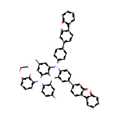 Cc1cc2c3c(c1)N(c1cccc4c1OCCO4)c1ccc(C(C)(C)C)cc1B3c1cc(-c3ccc4c(c3)oc3ccccc34)ccc1N2c1ccc(-c2ccc3c(c2)oc2ccccc23)cc1